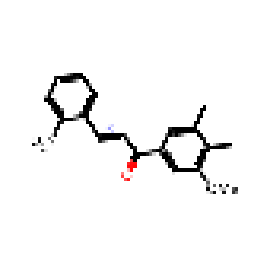 COc1cc(C(=O)/C=C/c2ccccc2[N+](=O)[O-])cc(C)c1C